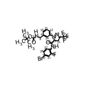 CC(C)(C)OC(=O)NCc1cccc(N2N=C(C(F)(F)F)CC2C(=O)Nc2ccc(Br)cc2F)c1